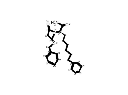 NC(=O)[C@@H](CCCCCCc1ccccc1)N1C(=O)CC1SCc1ccccc1